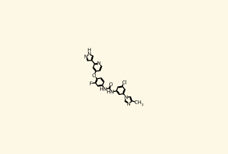 Cc1cn(-c2cc(Cl)cc(NC(=O)Nc3ccc(Oc4ccnc(-c5cn[nH]c5)c4)c(F)c3)c2)cn1